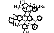 Cc1cc(C)c(N2c3cc4c(cc3B3c5sc6c(c5N(c5ccc(C(C)(C)C)cc5)c5cc(N(c7ccccc7)c7ccccc7)cc2c53)C(C)(C)CCC6(C)C)oc2ccccc24)c(C)c1